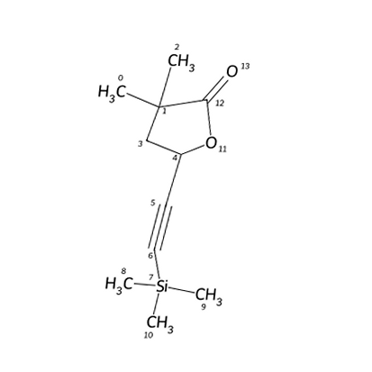 CC1(C)CC(C#C[Si](C)(C)C)OC1=O